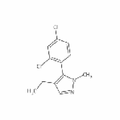 CCc1cnn(C)c1-c1ccc(Cl)cc1Cl